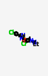 CCN(C)C=Nc1cc(Cl)c(Oc2nc(C(C)(C)c3ccc(Cl)cc3)ns2)cc1C